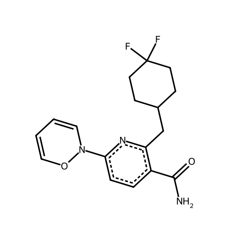 NC(=O)c1ccc(N2C=CC=CO2)nc1CC1CCC(F)(F)CC1